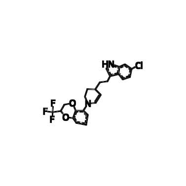 FC(F)(F)C1COc2c(cccc2N2C=CC(CCc3c[nH]c4cc(Cl)ccc34)CC2)O1